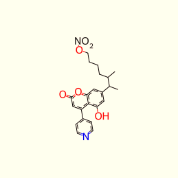 CC(CCCCO[N+](=O)[O-])C(C)c1cc(O)c2c(-c3ccncc3)cc(=O)oc2c1